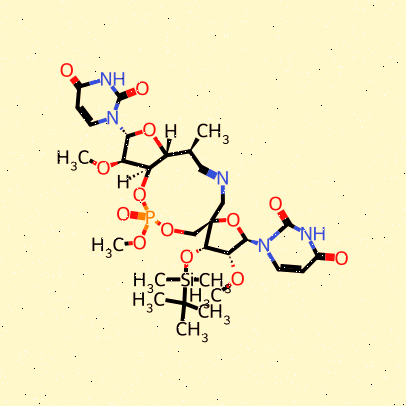 CO[C@@H]1[C@@H]2OP(=O)(OC)OC[C@@]3(C/N=C/[C@H](C)[C@H]2O[C@H]1n1ccc(=O)[nH]c1=O)O[C@@H](n1ccc(=O)[nH]c1=O)[C@H](OC)[C@@H]3O[Si](C)(C)C(C)(C)C